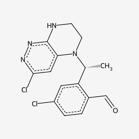 C[C@H](c1cc(Cl)ccc1C=O)N1CCNc2nnc(Cl)cc21